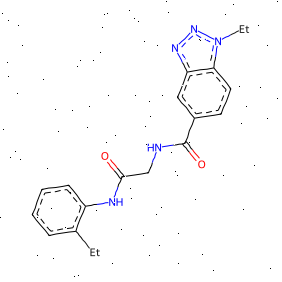 CCc1ccccc1NC(=O)CNC(=O)c1ccc2c(c1)nnn2CC